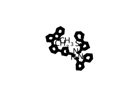 CC1(C)c2ccccc2-c2cccc(-c3cccc(-c4ccc(-c5nc(-c6ccccc6-c6ccccc6)nc(-c6cccc7c6sc6ccccc67)n5)cc4)c3)c21